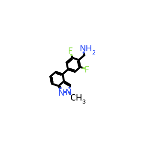 Cn1cc2c(-c3cc(F)c(CN)c(F)c3)cccc2n1